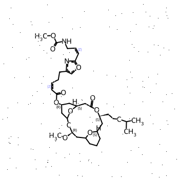 COC(=O)NC/C=C\c1nc(CC/C=C\C(=O)O[C@@H]2CC3C[C@H](OC)CC4CCC[C@@H](C[C@H](CCCC(C)C)OC(=O)C[C@H](C2)O3)O4)co1